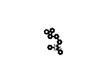 c1ccc(-c2nc(-c3cccc(-c4cccc(-c5cccc6c5-c5ccccc5C65CCCCC5)c4)c3)c3sc4ccccc4c3n2)cc1